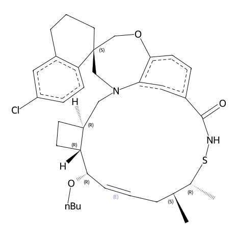 CCCCO[C@H]1/C=C/C[C@H](C)[C@@H](C)SNC(=O)c2ccc3c(c2)N(C[C@@H]2CC[C@H]21)C[C@@]1(CCCc2cc(Cl)ccc21)CO3